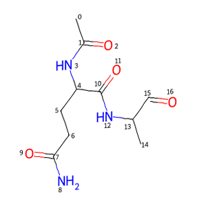 CC(=O)NC(CCC(N)=O)C(=O)NC(C)C=O